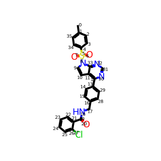 Cc1ccc(S(=O)(=O)n2ccc3c(-c4ccc(CNC(=O)c5ccccc5Cl)cc4)ncnc32)cc1